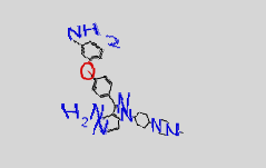 CN1CCN(C2CCC(n3nc(-c4ccc(Oc5cccc(CN)c5)cc4)c4c(N)nccc43)CC2)CC1